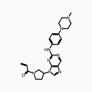 C=CC(=O)N1CCC(n2cnc3cnc(Nc4ccc(N5CCN(C)CC5)cc4)nc32)C1